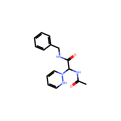 CC(=O)NC(C(=O)NCc1ccccc1)N1C=CC=CN1